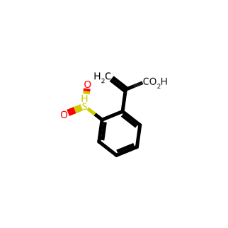 C=C(C(=O)O)c1ccccc1[SH](=O)=O